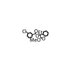 CCC(OC(=O)c1cccc(Cl)c1)(C(=O)OC)c1ccccc1